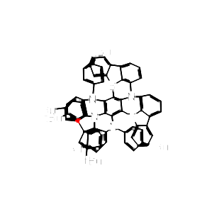 CC(C)(C)c1ccc(N(c2ccc(C(C)(C)C)cc2)c2c3c4c(c(N(c5ccc(C(C)(C)C)cc5)c5ccc(C(C)(C)C)cc5)c2-n2c5ccc(C(C)(C)C)cc5c5cc(C(C)(C)C)ccc52)B2c5ccccc5-c5cccc(c52)N4c2cccc4c2B3c2ccccc2-4)cc1